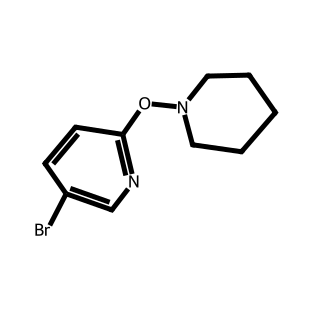 Brc1ccc(ON2CCCCC2)nc1